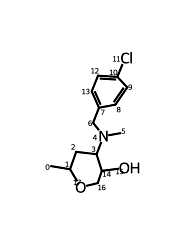 CC1CC(N(C)Cc2ccc(Cl)cc2)C(O)CO1